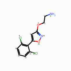 NCCOc1cc(-c2c(Cl)cccc2Cl)on1